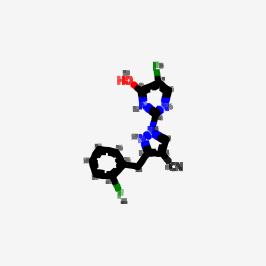 N#Cc1cn(-c2ncc(F)c(O)n2)nc1Cc1ccccc1F